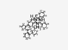 CC1CC=CC2=C1C(c1cc(C3NC(C4=CCCC=C4)NC(C)(C4C=CC=CC4)N3)ccc1C1=CCC=C1)CC1=C2CCC=C1